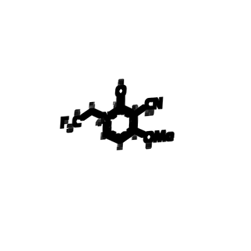 COc1ccn(CC(F)(F)F)c(=O)c1C#N